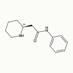 O=C(C[C@@H]1CCCCN1)Nc1ccccc1